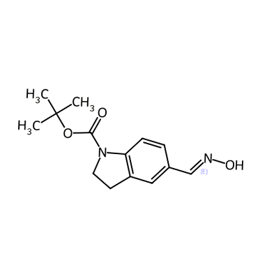 CC(C)(C)OC(=O)N1CCc2cc(/C=N/O)ccc21